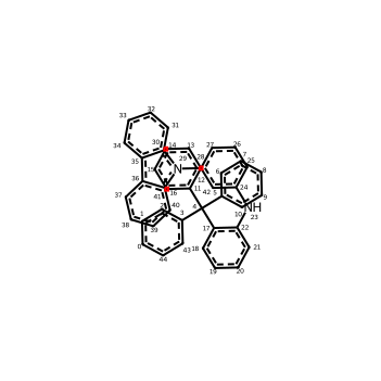 c1ccc(C(c2ccccc2)(c2ccccc2)c2ccccc2Nc2cccc(-n3c4ccccc4c4ccccc43)c2)cc1